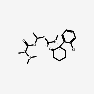 CC(OC(=O)[C@H](C)N(C)C)OC(=O)N(C)[C@]1(c2ccccc2Cl)CCCCC1=O